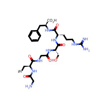 CC(C)C[C@H](NC(=O)CN)C(=O)NCC(=O)N[C@@H](CO)C(=O)N[C@@H](CCCNC(=N)N)C(=O)N[C@@H](Cc1ccccc1)C(=O)O